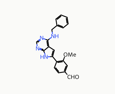 COc1cc(C=O)ccc1-c1cc2c(NCc3ccccc3)ncnc2[nH]1